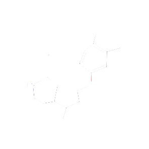 Cc1cc(OCCC(C)C2CCNCC2)ccc1C(=O)O.Cl